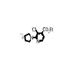 CCOC(=O)c1ccnc(N2CC[C@H](C)C2)c1Cl